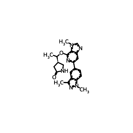 Cc1nn(C)c2ccc(-c3cc4ncn(C)c4c(OC(C)[C@H]4CNC(=O)C4)n3)cc12